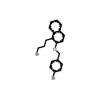 BrCCCc1c(OCc2ccc(Br)cc2)ccc2ccccc12